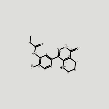 CCC(=O)Nc1cc(-c2n[nH]c(=O)c3c2NCCC3)ccc1Cl